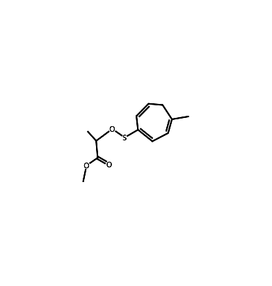 COC(=O)C(C)OSC1=CC=C(C)CC=C1